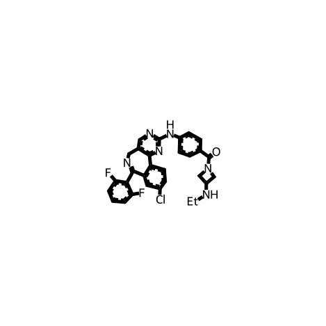 CCNC1CN(C(=O)c2ccc(Nc3ncc4c(n3)-c3ccc(Cl)cc3C(c3c(F)cccc3F)=NC4)cc2)C1